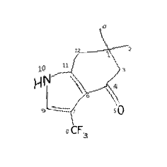 CC1(C)CC(=O)c2c(C(F)(F)F)c[nH]c2C1